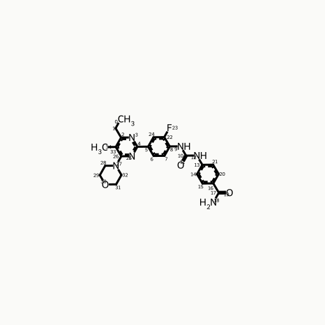 CCc1nc(-c2ccc(NC(=O)Nc3ccc(C(N)=O)cc3)c(F)c2)nc(N2CCOCC2)c1C